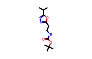 CC(C)c1nnc(CCNC(=O)OC(C)(C)C)o1